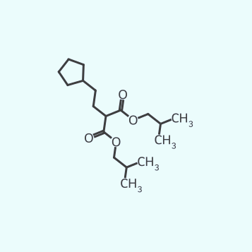 CC(C)COC(=O)C(CCC1CCCC1)C(=O)OCC(C)C